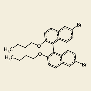 CCCCOc1ccc2cc(Br)ccc2c1-c1c(OCCCC)ccc2cc(Br)ccc12